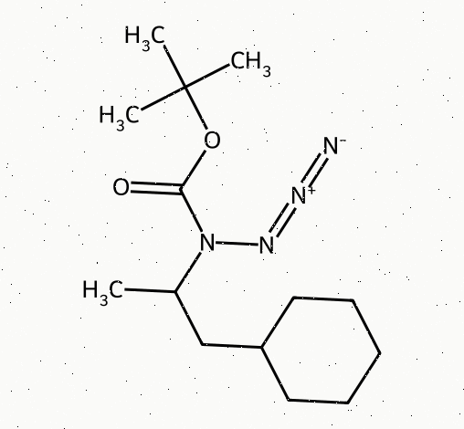 CC(CC1CCCCC1)N(N=[N+]=[N-])C(=O)OC(C)(C)C